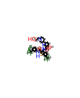 COc1ccc(C2CCCN(CCO)CC2)cc1C(=O)Nc1c(C(=O)Nc2ccc(F)c(C(F)(F)F)c2)sc2cc(C(F)(F)F)ccc12